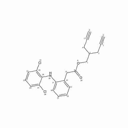 C#CCC(CC#C)COC(=O)Cc1ccccc1Nc1c(Cl)cccc1Cl